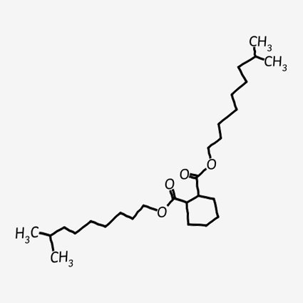 CC(C)CCCCCCCOC(=O)C1CCCCC1C(=O)OCCCCCCCC(C)C